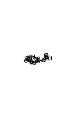 CCOC(=O)N(CCCCOc1cc(Cl)cc(Cl)c1)CCOc1ccc(CC(OCC)C(=O)O)cc1